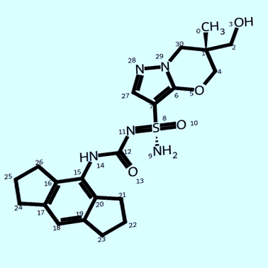 C[C@@]1(CO)COc2c([S@@](N)(=O)=NC(=O)Nc3c4c(cc5c3CCC5)CCC4)cnn2C1